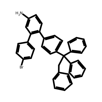 Nc1ccc(-c2ccc(C(Cc3ccccc3)(c3ccccc3)c3ccccc3)cc2)c(-c2ccc(Br)cc2)c1